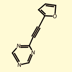 C(#Cc1ccco1)c1ncncn1